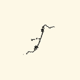 CCN(CC)CCCOC(=O)OCC(COC(=O)CCC(=O)Oc1c(C)c(C)c2c(c1C)CC[C@@](C)(CCC[C@H](C)CCC[C@H](C)CCCC(C)C)O2)COC(=O)CCC(=O)Oc1c(C)c(C)c2c(c1C)CC[C@@](C)(CCC[C@H](C)CCC[C@H](C)CCCC(C)C)O2